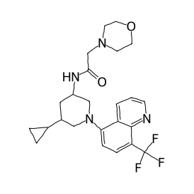 O=C(CN1CCOCC1)NC1CC(C2CC2)CN(c2ccc(C(F)(F)F)c3ncccc23)C1